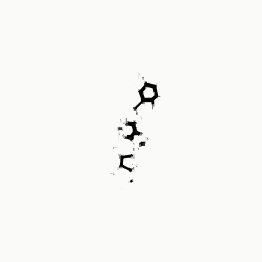 Nc1ccc(Cl)c(CNc2ncnc3c2ncn3[C@@H]2O[C@H](CO)[C@@H](O)[C@H]2O)c1